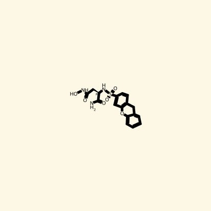 NC(=O)[C@@H](CC(=O)NO)NS(=O)(=O)c1ccc2c(c1)Oc1ccccc1C2